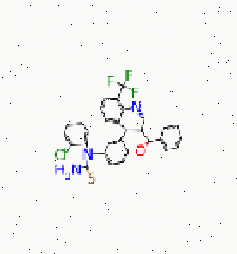 NC(=S)N(c1cccc(-c2c(C(=O)c3ccccc3)cnc3c(C(F)(F)F)cccc23)c1)c1ccccc1Cl